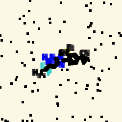 CCSc1cc(C2(C#N)CC2)ccc1-c1nc(/C=C(\N)C(C)(F)F)c(N)n1C